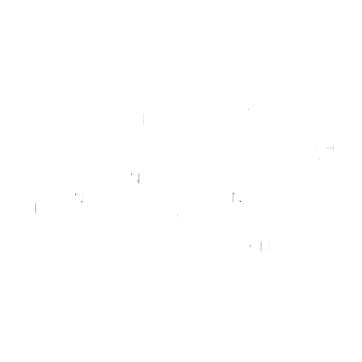 C[C@@H]1CSc2c(N3CCN(C)CC3)c(F)cc3c(=O)c(C(=O)O)cn1c23